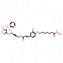 O=C(CCCCCCOc1ccc(C=CC(=O)OCC#CCOc2no[n+]([O-])c2S(=O)(=O)c2ccccc2)cc1Cl)NO